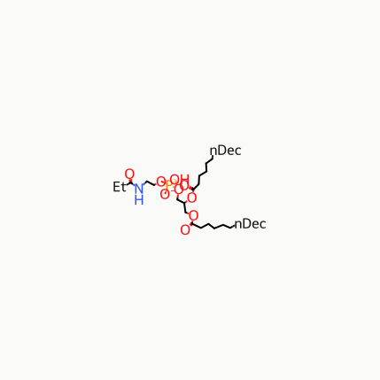 CCCCCCCCCCCCCCCC(=O)OCC(CO[P+]([O-])(O)OCCNC(=O)CC)OC(=O)CCCCCCCCCCCCCCC